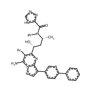 CC(=O)c1c([C@H](O)C[C@@H](C)N(C(=O)c2nnc[nH]2)C(C)C)nc2c(-c3ccc(-c4ccccc4)nc3)cnn2c1N